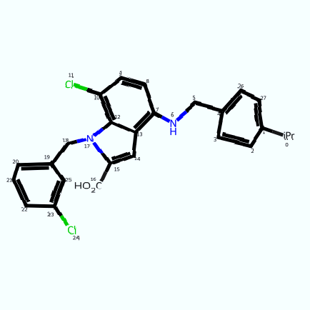 CC(C)c1ccc(CNc2ccc(Cl)c3c2cc(C(=O)O)n3Cc2cccc(Cl)c2)cc1